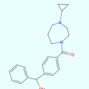 O=C(c1ccc(C(O)c2ccccc2)cc1)N1CCCN(C2CC2)CC1